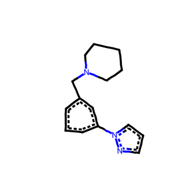 c1cc(CN2CCCCC2)cc(-n2cccn2)c1